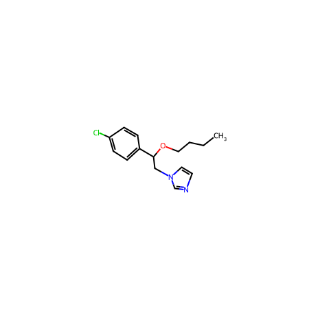 CCCCOC(Cn1ccnc1)c1ccc(Cl)cc1